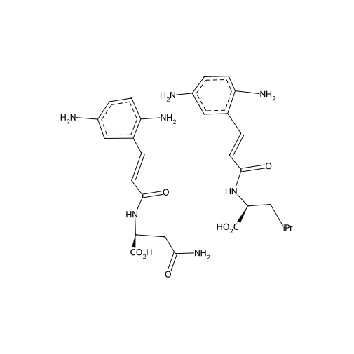 CC(C)C[C@H](NC(=O)C=Cc1cc(N)ccc1N)C(=O)O.NC(=O)C[C@H](NC(=O)C=Cc1cc(N)ccc1N)C(=O)O